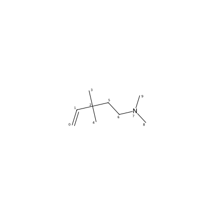 C=CC(C)(C)CCN(C)C